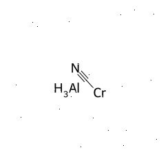 N#[C][Cr].[AlH3]